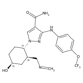 C=NC[C@H]1C[C@@H](O)CC[C@@H]1n1cc(C(N)=O)c(Nc2ccc(OC(F)(F)F)cc2)n1